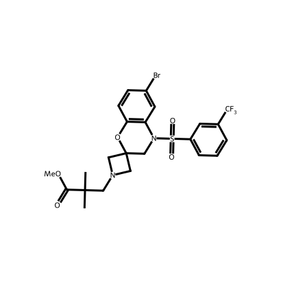 COC(=O)C(C)(C)CN1CC2(C1)CN(S(=O)(=O)c1cccc(C(F)(F)F)c1)c1cc(Br)ccc1O2